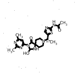 CC(=O)Nc1ncc([C@H](C)N2CCC3(CC2)NC(O)N(c2cc(C)nc(C)n2)C3=O)s1